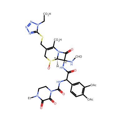 CCN1CCN(C(=O)NC(C(=O)N[C@]2(NC=O)C(=O)N3C(C(=O)O)=C(CSc4nnnn4CC(=O)O)C[S+]([O-])[C@@H]32)c2ccc(OC(C)=O)c(OC(C)=O)c2)C(=O)C1=O